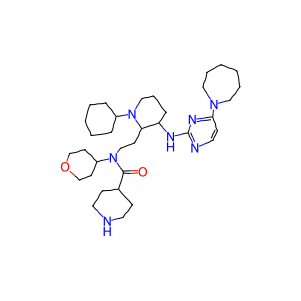 O=C(C1CCNCC1)N(CCC1C(Nc2nccc(N3CCCCCC3)n2)CCCN1C1CCCCC1)C1CCOCC1